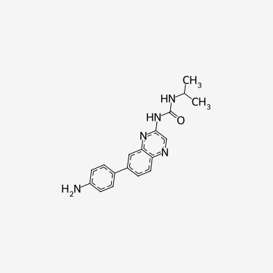 CC(C)NC(=O)Nc1cnc2ccc(-c3ccc(N)cc3)cc2n1